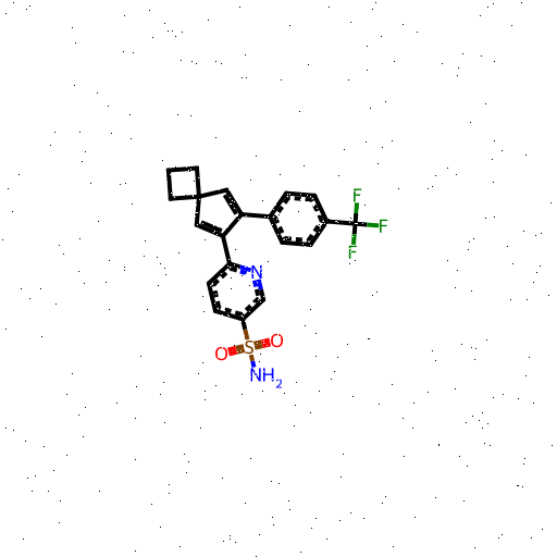 NS(=O)(=O)c1ccc(C2=CC3(C=C2c2ccc(C(F)(F)F)cc2)CCC3)nc1